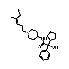 CC(=CCCN1CCC(NC(=O)C(O)(c2ccccc2)C2CCCC2)CC1)CF